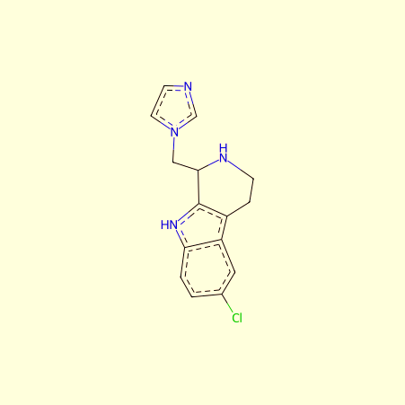 Clc1ccc2[nH]c3c(c2c1)CCNC3Cn1ccnc1